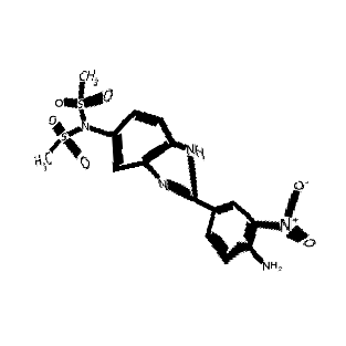 CS(=O)(=O)N(c1ccc2[nH]c(-c3ccc(N)c([N+](=O)[O-])c3)nc2c1)S(C)(=O)=O